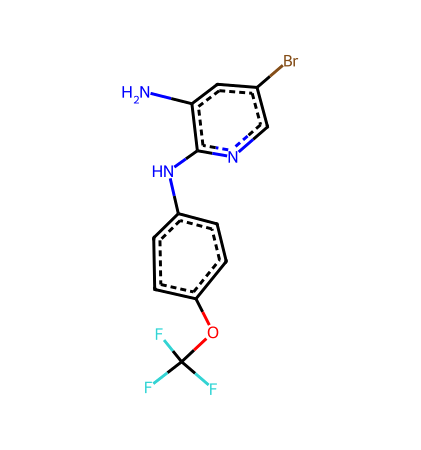 Nc1cc(Br)cnc1Nc1ccc(OC(F)(F)F)cc1